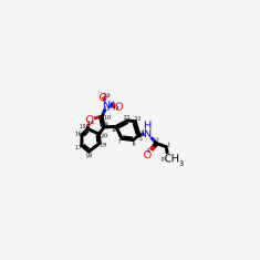 CCC(=O)Nc1ccc(-c2c([N+](=O)[O-])oc3ccccc23)cc1